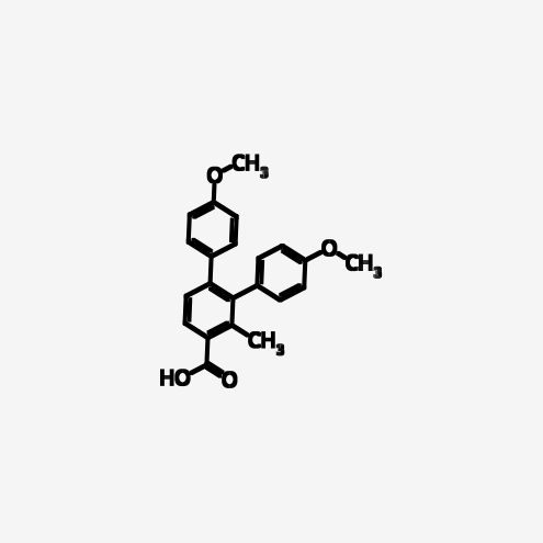 COc1ccc(-c2ccc(C(=O)O)c(C)c2-c2ccc(OC)cc2)cc1